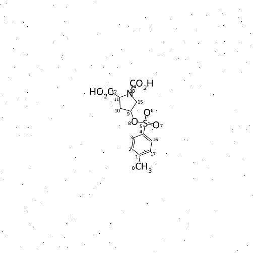 Cc1ccc(S(=O)(=O)OC2CC(C(=O)O)N(C(=O)O)C2)cc1